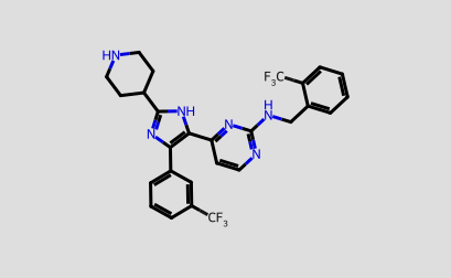 FC(F)(F)c1cccc(-c2nc(C3CCNCC3)[nH]c2-c2ccnc(NCc3ccccc3C(F)(F)F)n2)c1